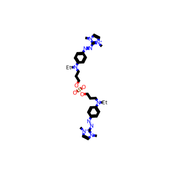 CCN(CCCOS(=O)(=O)OCCCN(CC)c1ccc(/N=N/c2n(C)cc[n+]2C)cc1)c1ccc(/N=N/c2n(C)cc[n+]2C)cc1